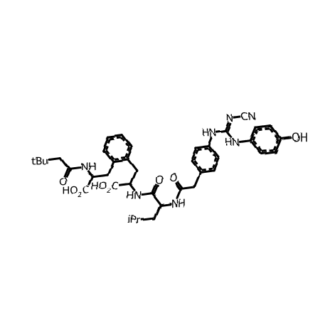 CC(C)CC(NC(=O)Cc1ccc(NC(=NC#N)Nc2ccc(O)cc2)cc1)C(=O)NC(Cc1ccccc1CC(NC(=O)CC(C)(C)C)C(=O)O)C(=O)O